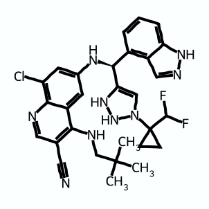 CC(C)(C)CNc1c(C#N)cnc2c(Cl)cc(N[C@H](C3=CN(C4(C(F)F)CC4)NN3)c3cccc4[nH]ncc34)cc12